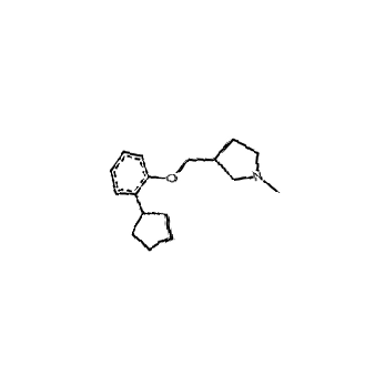 CN1CCC(COc2ccccc2C2CCCC2)C1